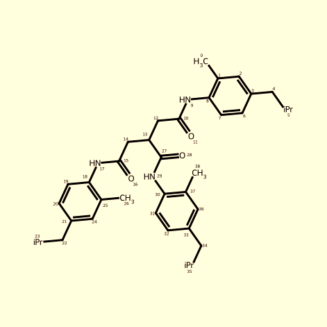 Cc1cc(CC(C)C)ccc1NC(=O)CC(CC(=O)Nc1ccc(CC(C)C)cc1C)C(=O)Nc1ccc(CC(C)C)cc1C